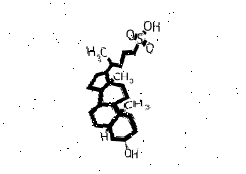 CC(CCCS(=O)(=O)O)C1CCC2C3CC[C@H]4C[C@@H](O)CCC4(C)C3CCC12C